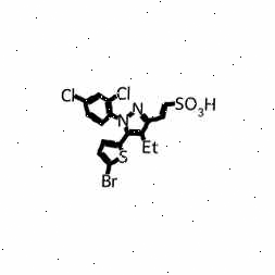 CCc1c(C=CS(=O)(=O)O)nn(-c2ccc(Cl)cc2Cl)c1-c1ccc(Br)s1